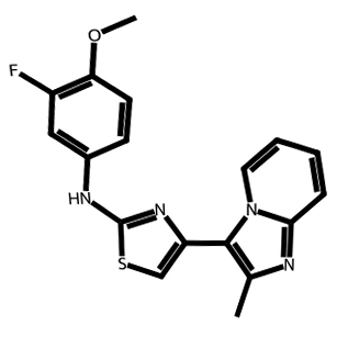 COc1ccc(Nc2nc(-c3c(C)nc4ccccn34)cs2)cc1F